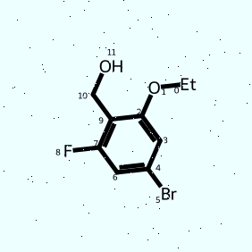 CCOc1cc(Br)cc(F)c1CO